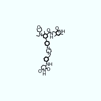 CCN(c1cc(-c2ccc(N3CCN(Cc4cccc(NC5CCC(=O)NC5=O)c4)CC3)cc2)cc(C(=O)NCc2c(C)cc(C)[nH]c2=O)c1C)C1CCOCC1